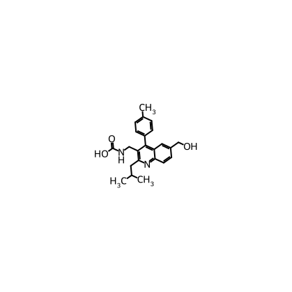 Cc1ccc(-c2c(CNC(=O)O)c(CC(C)C)nc3ccc(CO)cc23)cc1